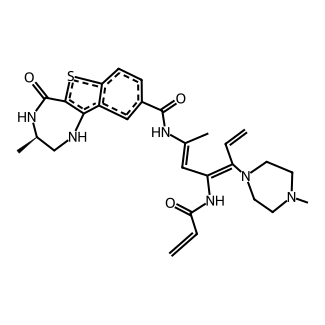 C=CC(=O)NC(/C=C(\C)NC(=O)c1ccc2sc3c(c2c1)NC[C@@H](C)NC3=O)=C(/C=C)N1CCN(C)CC1